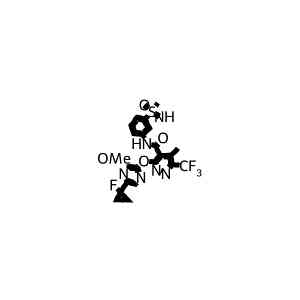 COc1nc(C2(F)CC2)cnc1Oc1nnc(C(F)(F)F)c(C)c1C(=O)Nc1cccc(S(C)(=N)=O)c1